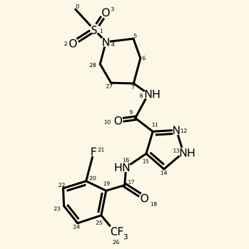 CS(=O)(=O)N1CCC(NC(=O)c2n[nH]cc2NC(=O)c2c(F)cccc2C(F)(F)F)CC1